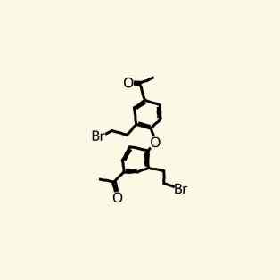 CC(=O)c1ccc(Oc2ccc(C(C)=O)cc2CCBr)c(CCBr)c1